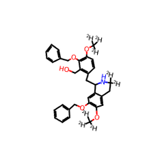 [2H]C1([2H])Cc2cc(OC([2H])([2H])[2H])c(OCc3ccccc3)cc2C(Cc2ccc(OC([2H])([2H])[2H])c(OCc3ccccc3)c2CO)N1